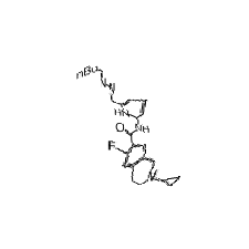 CCCC/C=N/N=C/C1=CC=CC(NC(=O)c2cc3c(cc2F)CCN(C2CC2)C3)N1